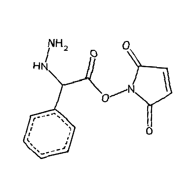 NNC(C(=O)ON1C(=O)C=CC1=O)c1ccccc1